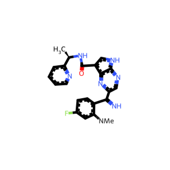 CNc1cc(F)ccc1C(=N)c1cnc2[nH]cc(C(=O)N[C@H](C)c3ccccn3)c2n1